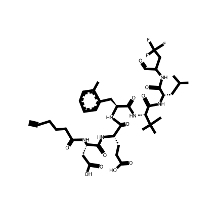 C#CCCCC(=O)N[C@@H](CC(=O)O)C(=O)N[C@@H](CCC(=O)O)C(=O)N[C@@H](Cc1ccccc1C)C(=O)N[C@H](C(=O)N[C@@H](CC(C)C)C(=O)NC(C=O)CC(F)(F)F)C(C)(C)C